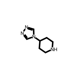 c1nncn1C1CCNCC1